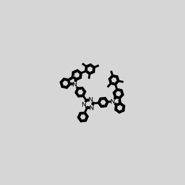 Cc1cc(C)c(-c2ccc3c4ccccc4n(-c4ccc(-c5nc(-c6ccccc6)nc(-c6ccc(-n7c8ccccc8c8ccc(-c9c(C)cc(C)cc9C)cc87)cc6)n5)cc4)c3c2)c(C)c1